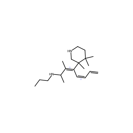 C=C/C=C\C(=C(\C)C(C)NCCC)C1(C)CNCCC1(C)C